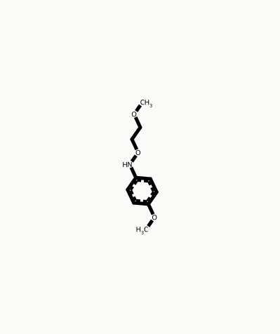 COCCONc1ccc(OC)cc1